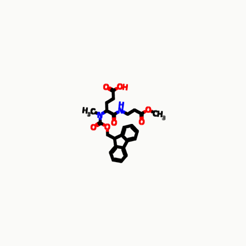 COC(=O)CCNC(=O)C(CCC(=O)O)N(C)C(=O)OCC1c2ccccc2-c2ccccc21